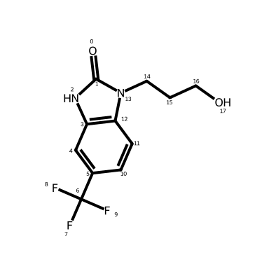 O=c1[nH]c2cc(C(F)(F)F)ccc2n1CCCO